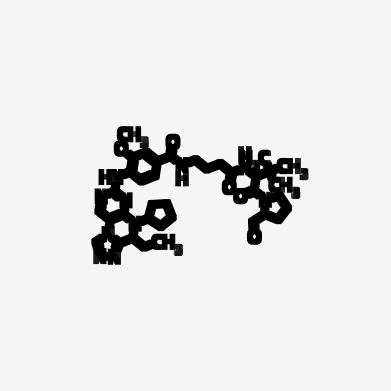 CCC1c2nncn2-c2cnc(Nc3ccc(C(=O)NCCCC(=O)NC(C(=O)N4CCCC4C=O)C(C)(C)C)cc3OC)nc2N1C1CCCC1